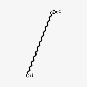 CCCCCCCCCCCCCCCCCCCCCCCCCC=CCCCCCCCO